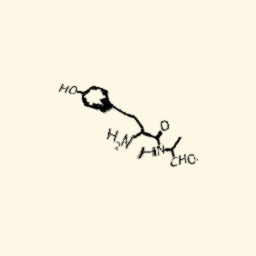 CC([C]=O)NC(=O)C(N)Cc1ccc(O)cc1